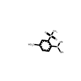 CCCN(CCC)c1ccc(C(=O)O)cc1S(C)(=O)=O